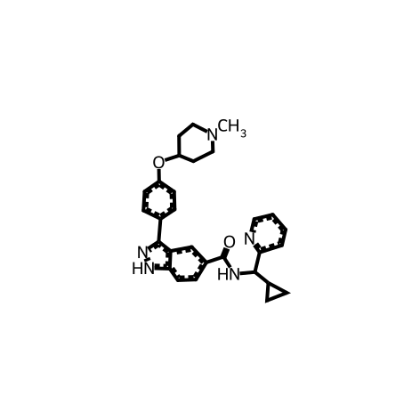 CN1CCC(Oc2ccc(-c3n[nH]c4ccc(C(=O)NC(c5ccccn5)C5CC5)cc34)cc2)CC1